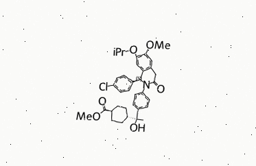 COc1cc2c(cc1OC(C)C)[C@H](c1ccc(Cl)cc1)N(c1ccc(C(C)(O)[C@H]3CC[C@H](C(=O)OC)CC3)cc1)C(=O)C2